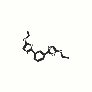 CCOc1cnc(-c2[c]c(-c3ncc(OCC)o3)ccc2)o1